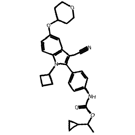 CC(OC(=O)Nc1ccc(-c2c(C#N)c3cc(OC4CCOCC4)ccc3n2C2CCC2)cc1)C1CC1